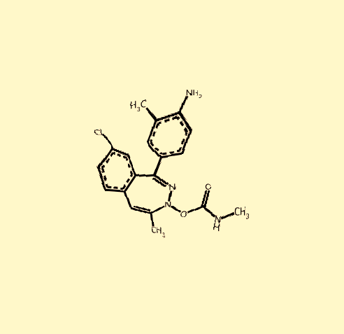 CNC(=O)ON1N=C(c2ccc(N)c(C)c2)c2cc(Cl)ccc2C=C1C